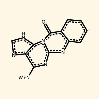 CNc1nc2nc3ccccc3c(=O)n2c2[nH]cnc12